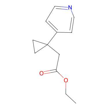 CCOC(=O)CC1(c2ccncc2)CC1